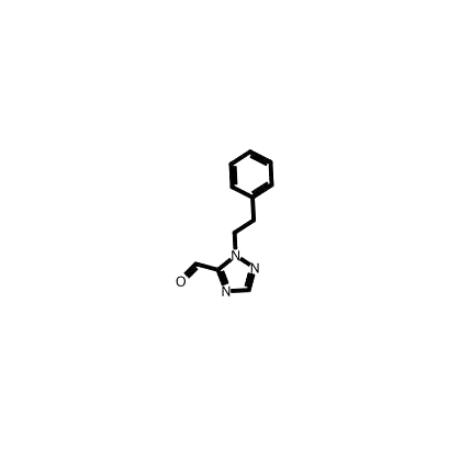 O=Cc1ncnn1CCc1ccccc1